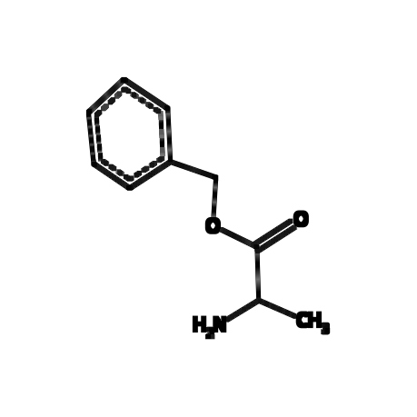 CC(N)C(=O)OCc1ccccc1